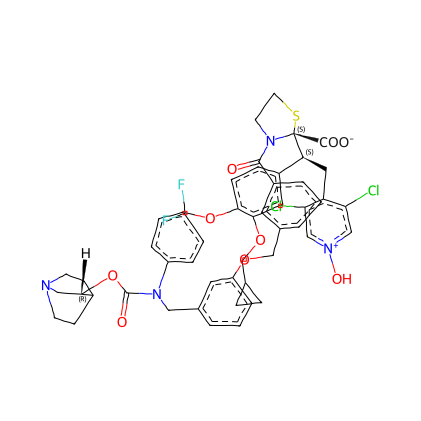 O=C(O[C@H]1CN2CCC1CC2)N(Cc1cccc(OCc2cccc(C(=O)N3CCS[C@]3(C(=O)[O-])[C@@H](Cc3c(Cl)c[n+](O)cc3Cl)c3ccc(OC(F)F)c(OCC4CC4)c3)c2)c1)c1ccccc1